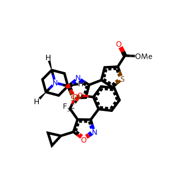 COC(=O)c1cc(-c2csc(N3[C@@H]4C[C@@H](OCc5c(-c6ccccc6OC(F)(F)F)noc5C5CC5)C[C@H]3C4)n2)cs1